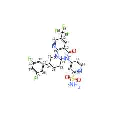 NS(=O)(=O)c1cc(NC(=O)c2cc(C(F)(F)F)cnc2N2CCCC(c3cc(F)cc(F)c3)C2)ccn1